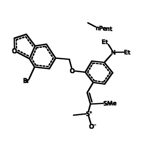 CCCCCC.CCN(CC)c1ccc(/C=C(\SC)[S+](C)[O-])c(OCc2cc(Br)c3occc3c2)c1